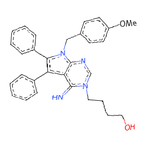 COc1ccc(Cn2c(-c3ccccc3)c(-c3ccccc3)c3c(=N)n(CCCCO)cnc32)cc1